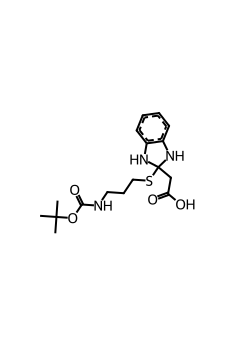 CC(C)(C)OC(=O)NCCCSC1(CC(=O)O)Nc2ccccc2N1